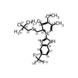 COc1c(C)c[n+](-c2nc3cc(C(F)(F)F)ccc3[nH]2)c(CSCC(C)(C)Cl)c1C